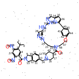 CC(C)c1cc(C(=O)N2Cc3ccc(CN4CCC(C(=O)N5CCCn6cc(cn6)Nc6ncc7ccc(n7n6)-c6ccc(cc6)OCC5)CC4)cc3C2)c(N=O)cc1N=O